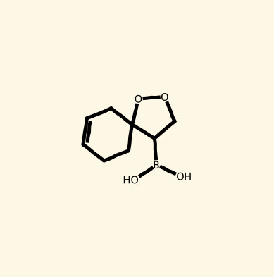 OB(O)C1COOC12CC=CCC2